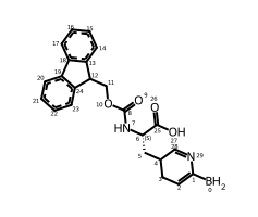 BC1=CCC(C[C@H](NC(=O)OCC2c3ccccc3-c3ccccc32)C(=O)O)C=N1